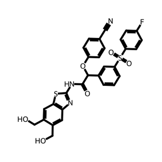 N#Cc1ccc(OC(C(=O)Nc2nc3cc(CO)c(CO)cc3s2)c2cccc(S(=O)(=O)c3ccc(F)cc3)c2)cc1